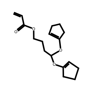 C=CC(=O)OCCCC(OC1=CCCC1)OC1=CCCC1